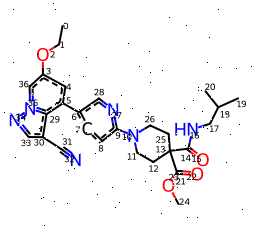 CCOc1cc(-c2ccc(N3CCC(C(=O)NCC(C)C)(C(=O)OC)CC3)nc2)c2c(C#N)cnn2c1